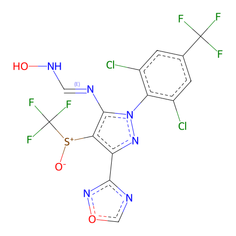 [O-][S+](c1c(-c2ncon2)nn(-c2c(Cl)cc(C(F)(F)F)cc2Cl)c1/N=C/NO)C(F)(F)F